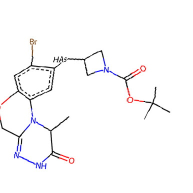 CC1C(=O)NN=C2COc3cc(Br)c([AsH]C4CN(C(=O)OC(C)(C)C)C4)cc3N21